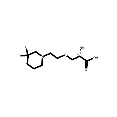 N[C@@H](COCCN1CCCC(F)(F)C1)C(=O)O